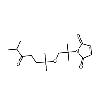 CC(C)C(=O)CCC(C)(C)OCC(C)(C)N1C(=O)C=CC1=O